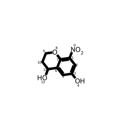 O=[N+]([O-])c1cc(O)cc2c1OCCC2O